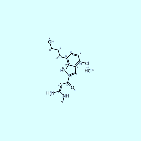 CNC(N)=NC(=O)c1cc2c(Cl)ccc(OCCO)c2[nH]1.Cl